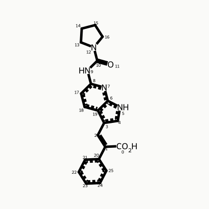 O=C(O)/C(=C\c1c[nH]c2nc(NC(=O)N3CCCC3)ccc12)c1ccccc1